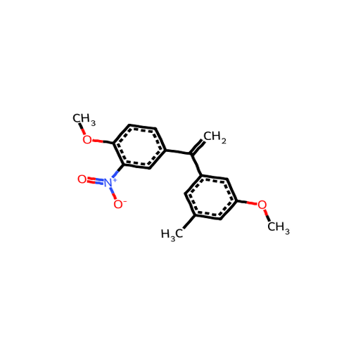 C=C(c1cc(C)cc(OC)c1)c1ccc(OC)c([N+](=O)[O-])c1